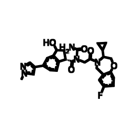 Cn1cc(-c2ccc3c(c2)C(O)C[C@@H]3C(=O)N(CC(=O)N2Cc3cc(F)ccc3OCC2C2CC2)C(N)=O)cn1